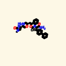 COC(=O)N(c1ccccc1CC[C@@H]1CN[C@H](c2cn(C)c(=O)[nH]2)CO1)[C@@H](Cc1ccc(-c2ccccc2)cc1)C(N)=O